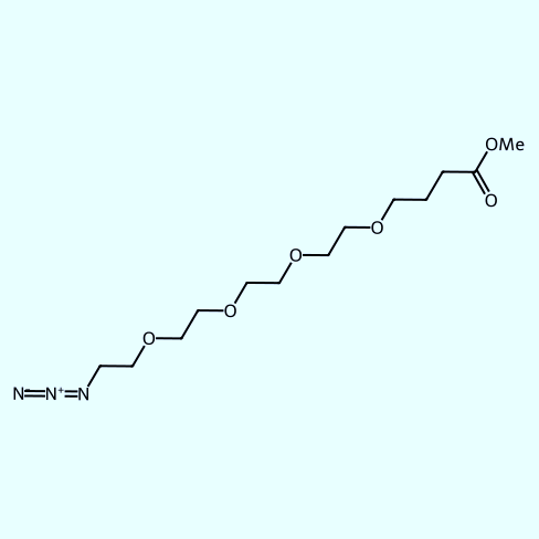 COC(=O)CCCOCCOCCOCCOCCN=[N+]=[N-]